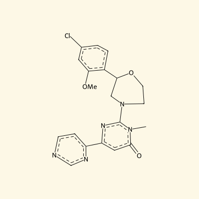 COc1cc(Cl)ccc1C1CN(c2nc(-c3ccncn3)cc(=O)n2C)CCO1